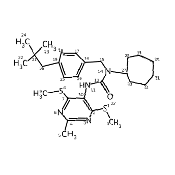 CSc1nc(C)nc(SC)c1NC(=O)N(Cc1ccc(CC(C)(C)C)cc1)C1CCCCCC1